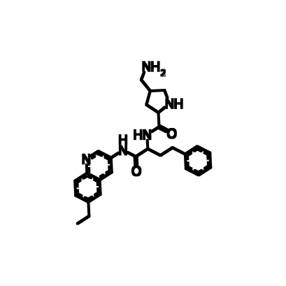 CCc1ccc2ncc(NC(=O)C(CCc3ccccc3)NC(=O)C3CC(CN)CN3)cc2c1